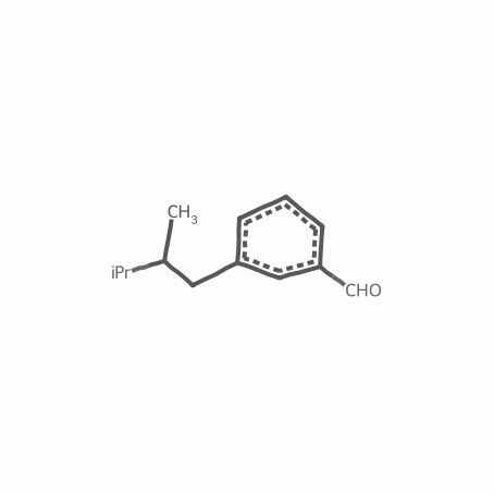 CC(C)C(C)Cc1cccc(C=O)c1